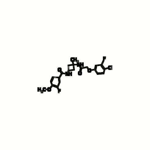 COc1ccc(C(=O)NC2CC(C)(NC(=O)COc3ccc(Cl)c(F)c3)C2)cc1F